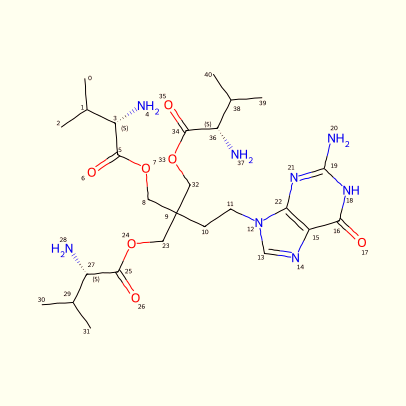 CC(C)[C@H](N)C(=O)OCC(CCn1cnc2c(=O)[nH]c(N)nc21)(COC(=O)[C@@H](N)C(C)C)COC(=O)[C@@H](N)C(C)C